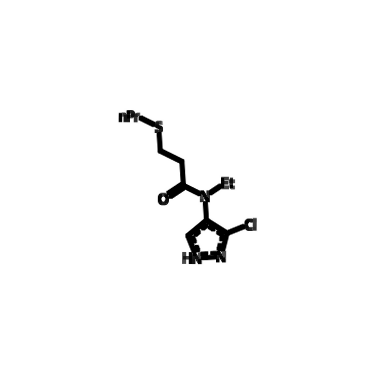 CCCSCCC(=O)N(CC)c1c[nH]nc1Cl